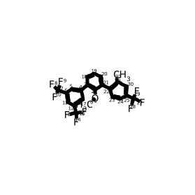 COc1c(-c2cc(C(F)(F)F)cc(C(F)(F)F)c2)cccc1-c1ccc(C(F)(F)F)cc1C